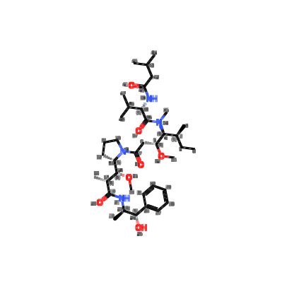 CC[C@H](C)[C@@H]([C@@H](CC(=O)N1CCC[C@H]1[C@H](OC)[C@@H](C)C(=O)N[C@H](C)[C@@H](O)c1ccccc1)OC)N(C)C(=O)[C@@H](NC(=O)[CH]C(C)C)C(C)C